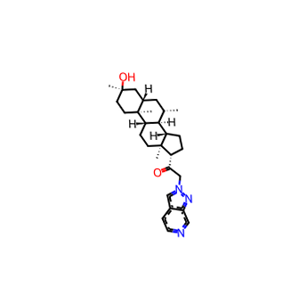 C[C@H]1C[C@H]2C[C@](C)(O)CC[C@]2(C)[C@H]2CC[C@]3(C)[C@@H](C(=O)Cn4cc5ccncc5n4)CC[C@H]3[C@H]12